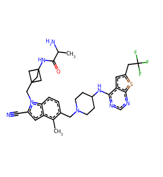 Cc1c(CN2CCC(Nc3ncnc4sc(CC(F)(F)F)cc34)CC2)ccc2c1cc(C#N)n2CC12CC(NC(=O)C(C)N)(C1)C2